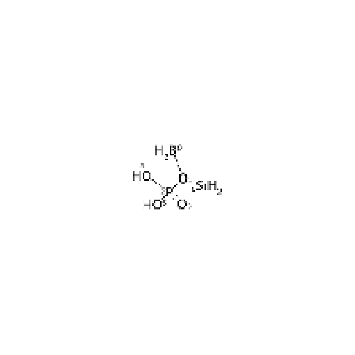 BOP(=O)(O)O.[SrH2]